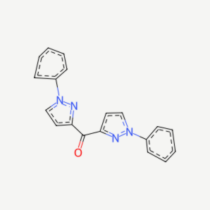 O=C(c1ccn(-c2ccccc2)n1)c1ccn(-c2ccccc2)n1